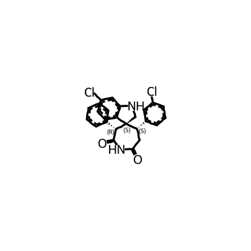 O=C1C[C@@H](c2cccc(Cl)c2)[C@]2(CNc3cc(Cl)ccc32)[C@@H](c2ccccc2)C(=O)N1